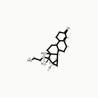 CC12CCC3C4CCC(=O)C=C4CCC3C1C1C[C@H]1[C@]2(C)OCCO